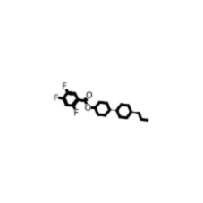 CCC[C@H]1CC[C@H](C2CCC(OC(=O)c3cc(F)c(F)cc3F)CC2)CC1